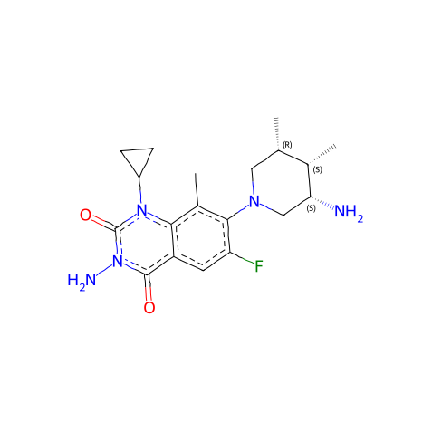 Cc1c(N2C[C@@H](N)[C@@H](C)[C@@H](C)C2)c(F)cc2c(=O)n(N)c(=O)n(C3CC3)c12